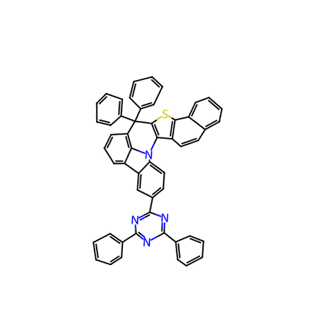 c1ccc(-c2nc(-c3ccccc3)nc(-c3ccc4c(c3)c3cccc5c3n4-c3c(sc4c3ccc3ccccc34)C5(c3ccccc3)c3ccccc3)n2)cc1